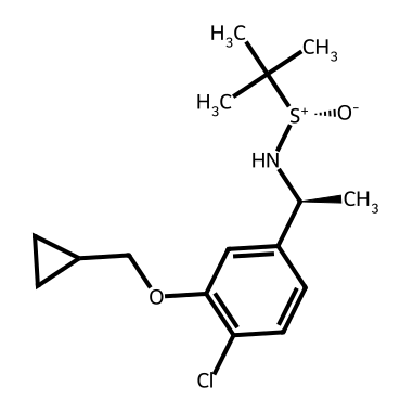 C[C@H](N[S@@+]([O-])C(C)(C)C)c1ccc(Cl)c(OCC2CC2)c1